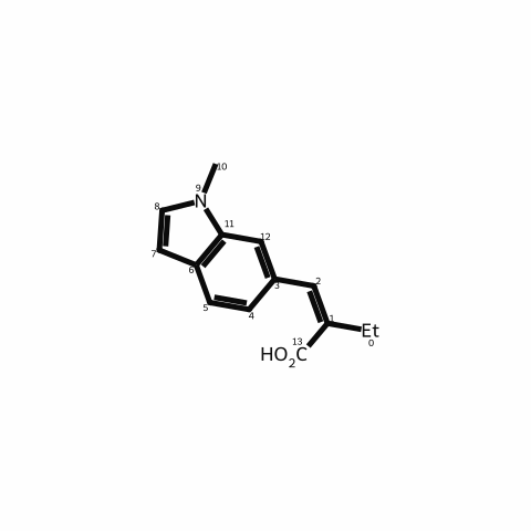 CCC(=Cc1ccc2ccn(C)c2c1)C(=O)O